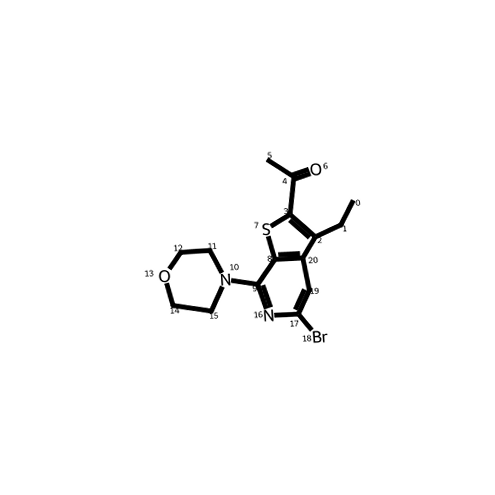 CCc1c(C(C)=O)sc2c(N3CCOCC3)nc(Br)cc12